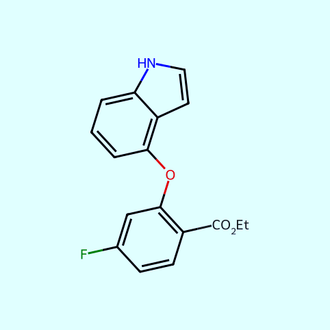 CCOC(=O)c1ccc(F)cc1Oc1cccc2[nH]ccc12